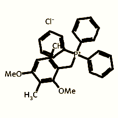 COc1cc(C)c(C[P+](c2ccccc2)(c2ccccc2)c2ccccc2)c(OC)c1C.[Cl-]